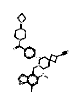 COc1cc(C)c2[nH]ccc2c1CN1CCC2(CC(C#N)C2)C[C@H]1c1ccc(C(=O)N2CCC(N3CCC3)CC2)cc1